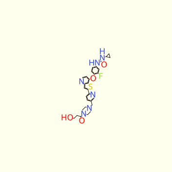 O=C(Nc1ccc(Oc2ccnc3cc(-c4ccc(CN5CCN(C(=O)CCO)CC5)cn4)sc23)c(F)c1)NC1CC1